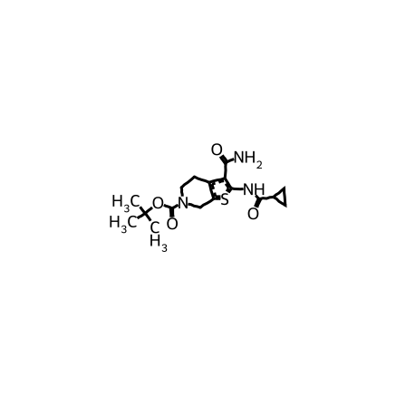 CC(C)(C)OC(=O)N1CCc2c(sc(NC(=O)C3CC3)c2C(N)=O)C1